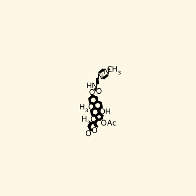 CC(=O)OC1CC2(O)C3CCC4CC(OC(=O)NCCN5CCN(C)CC5)CCC4(C)C3CCC2(C)C1c1ccc(=O)oc1